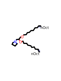 CCCCCCCC/C=C\CCCCCCCCOCC(CN1CCCC1)OCCCCCCCC/C=C\CCCCCCCC